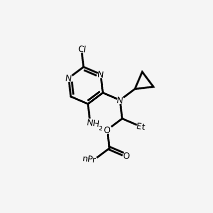 CCCC(=O)OC(CC)N(c1nc(Cl)ncc1N)C1CC1